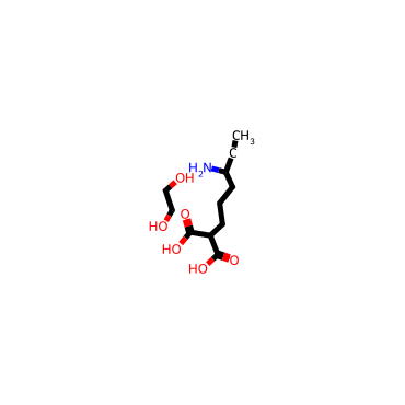 CCC(N)CCCC(C(=O)O)C(=O)O.OCCO